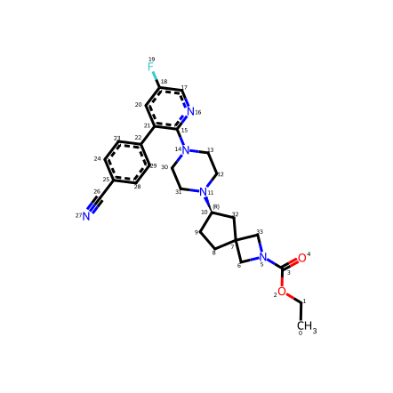 CCOC(=O)N1CC2(CC[C@@H](N3CCN(c4ncc(F)cc4-c4ccc(C#N)cc4)CC3)C2)C1